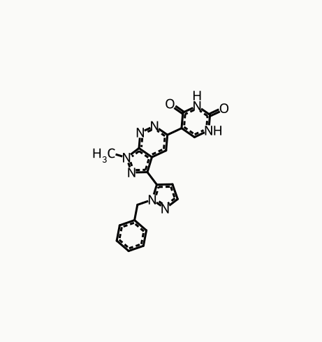 Cn1nc(-c2ccnn2Cc2ccccc2)c2cc(-c3c[nH]c(=O)[nH]c3=O)nnc21